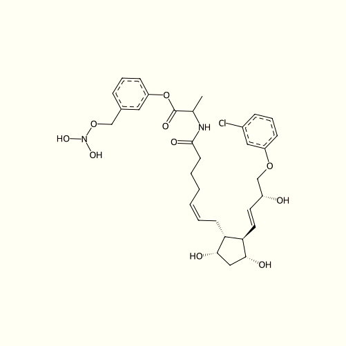 CC(NC(=O)CCC/C=C\C[C@@H]1[C@@H](/C=C/[C@@H](O)COc2cccc(Cl)c2)[C@H](O)C[C@@H]1O)C(=O)Oc1cccc(CON(O)O)c1